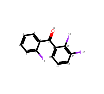 O=C(c1ccccc1I)c1cccc(I)c1I